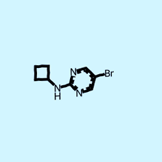 Brc1cnc(NC2CCC2)nc1